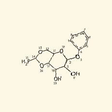 OC1C(Oc2ccccc2)OC2COC(P)OC2C1O